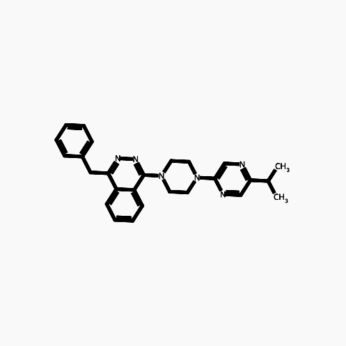 CC(C)c1cnc(N2CCN(c3nnc(Cc4ccccc4)c4ccccc34)CC2)cn1